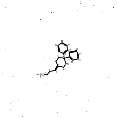 CCCC=C1CCC(c2ccccc2)(c2ccccc2)CC1